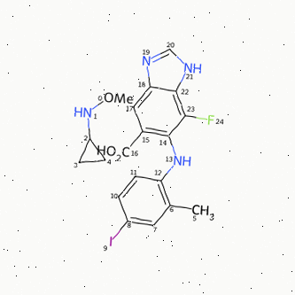 CONC1CC1.Cc1cc(I)ccc1Nc1c(C(=O)O)cc2nc[nH]c2c1F